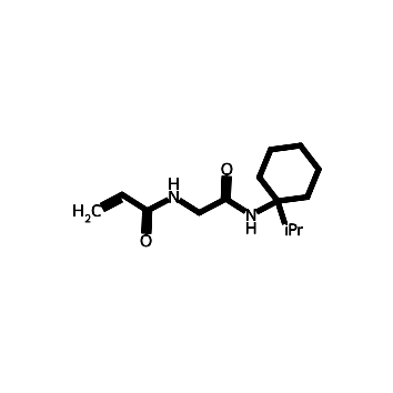 C=CC(=O)NCC(=O)NC1(C(C)C)CCCCC1